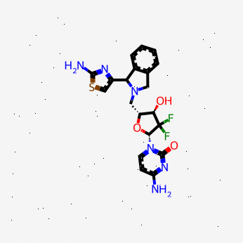 Nc1ccn([C@@H]2O[C@H](CN3Cc4ccccc4C3c3csc(N)n3)[C@@H](O)C2(F)F)c(=O)n1